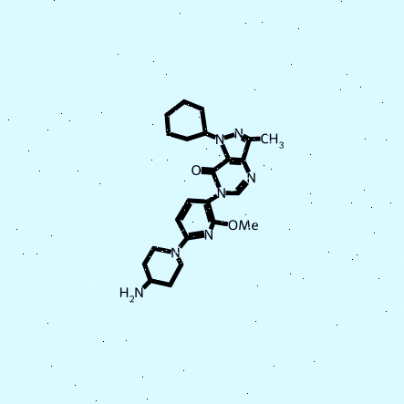 COc1nc(N2CCC(N)CC2)ccc1-n1cnc2c(C)nn(C3CCCCC3)c2c1=O